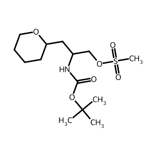 CC(C)(C)OC(=O)NC(COS(C)(=O)=O)CC1CCCCO1